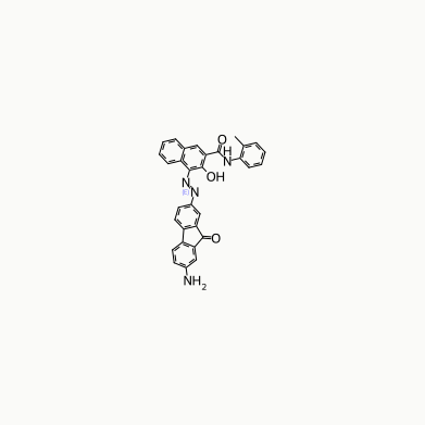 Cc1ccccc1NC(=O)c1cc2ccccc2c(/N=N/c2ccc3c(c2)C(=O)c2cc(N)ccc2-3)c1O